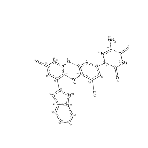 C=C1NC(=O)N(c2cc(Cl)c(Oc3n[nH]c(=O)cc3-c3cc4ccccn4n3)c(Cl)c2)N=C1N